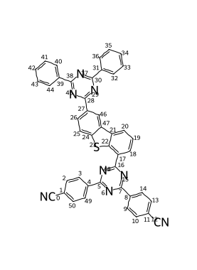 N#Cc1ccc(-c2nc(-c3ccc(C#N)cc3)nc(-c3cccc4c3sc3ccc(-c5nc(-c6ccccc6)nc(-c6ccccc6)n5)cc34)n2)cc1